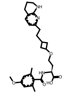 COc1cc(C)c(C(=O)N[C@@H](CCOC2CC(CCc3ccc4c(n3)NCCC4)C2)C(=O)O)c(C)c1